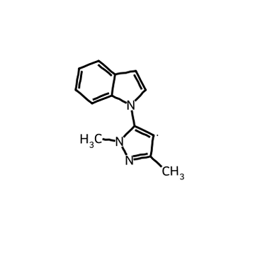 Cc1[c]c(-n2ccc3ccccc32)n(C)n1